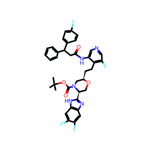 CC(C)(C)OC(=O)N1C[C@@H](CCc2c(F)cncc2NC(=O)CC(c2ccccc2)c2ccc(F)cc2)OC[C@H]1c1nc2cc(F)c(F)cc2[nH]1